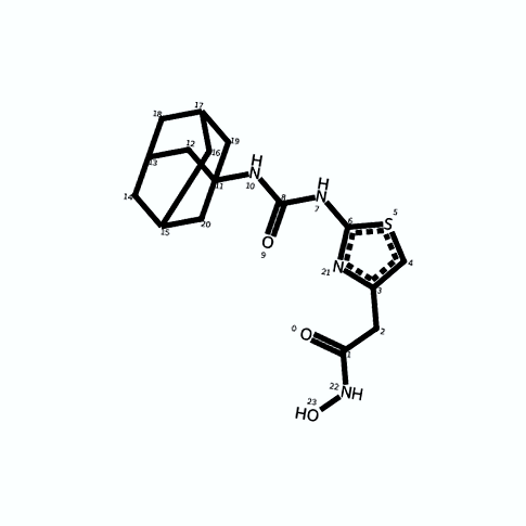 O=C(Cc1csc(NC(=O)NC23CC4CC(CC(C4)C2)C3)n1)NO